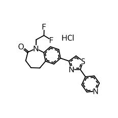 Cl.O=C1CCCc2cc(-c3csc(-c4ccncc4)n3)ccc2N1CC(F)F